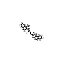 O=C(CCC(=O)Oc1ccc2ccccc2c1Br)Oc1ccc2ccccc2c1Br